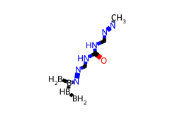 BBB(B)N=NCNC(=O)NCN=NC